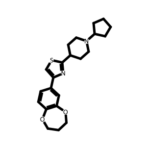 c1cc2c(cc1-c1csc(C3CCN(C4CCCC4)CC3)n1)OCCCO2